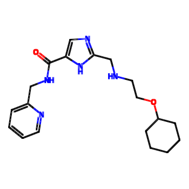 O=C(NCc1ccccn1)c1cnc(CNCCOC2CCCCC2)[nH]1